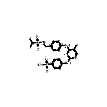 Cc1cnc(Nc2ccc(S(N)(=O)=O)cc2)nc1Nc1ccc(CNS(=O)(=O)C(C)C)cc1